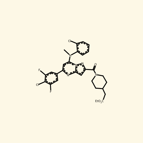 CCOC(=O)CC1CCN(C(=O)c2cc3nc(-c4cc(F)c(Cl)c(F)c4)cc(N(C)c4ccccc4Cl)n3n2)CC1